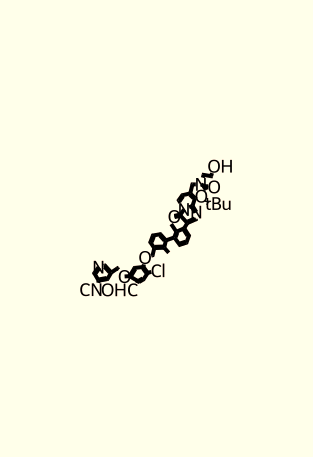 Cc1c(COc2cc(OCc3cncc(C#N)c3)c(C=O)cc2Cl)cccc1-c1cccc(-c2cnc3cc(CN(CCO)C(=O)OC(C)(C)C)ccn3c2=O)c1C